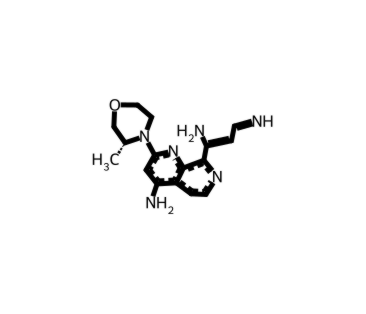 C[C@@H]1COCCN1c1cc(N)c2ccnc(/C(N)=C/C=N)c2n1